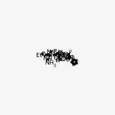 CCOc1nc(N)nc2c1ncn2[C@@H]1O[C@@H]2CO[PH](O)(N[C@@H](C)C(=O)OC3CCCC3)O[C@H]2[C@@]1(C)F